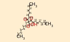 CCCCCCCCC(C(=O)O)(C(=O)CCCCCCC)C(=O)CCCCCCC